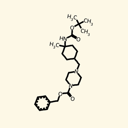 CC1(NC(=O)OC(C)(C)C)CCC(CN2CCN(C(=O)OCc3ccccc3)CC2)CC1